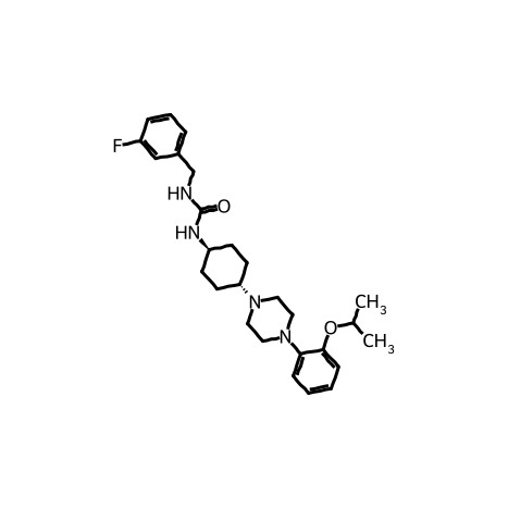 CC(C)Oc1ccccc1N1CCN([C@H]2CC[C@H](NC(=O)NCc3cccc(F)c3)CC2)CC1